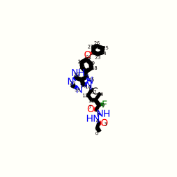 C=CC(=O)NNC(=O)C(F)=C1CCC(n2nc(-c3ccc(Oc4ccccc4)cc3)c3c(N)ncnc32)CC1